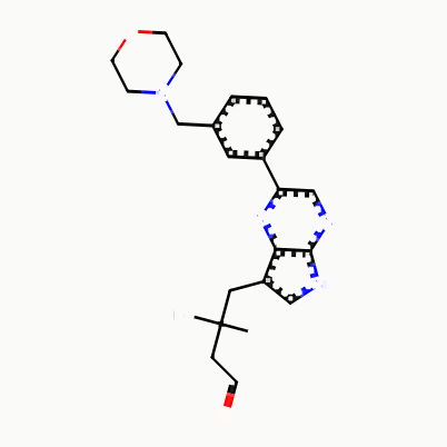 CC(C)(CC=O)Cc1c[nH]c2ncc(-c3cccc(CN4CCOCC4)c3)nc12